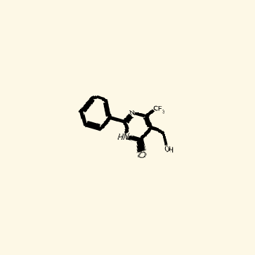 O=c1[nH]c(-c2ccccc2)nc(C(F)(F)F)c1CO